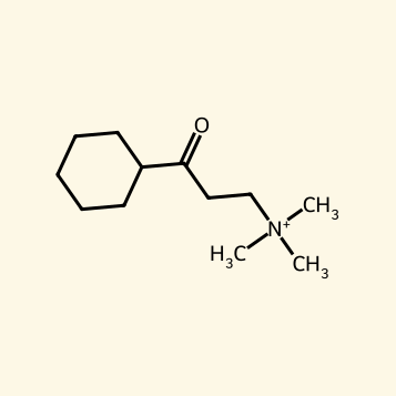 C[N+](C)(C)CCC(=O)C1CCCCC1